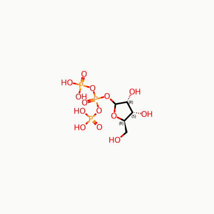 O=P(O)(O)OP(=O)(OC1O[C@H](CO)[C@@H](O)[C@H]1O)OP(=O)(O)O